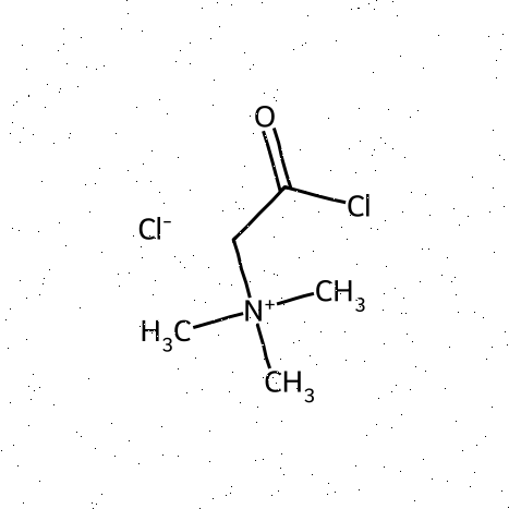 C[N+](C)(C)CC(=O)Cl.[Cl-]